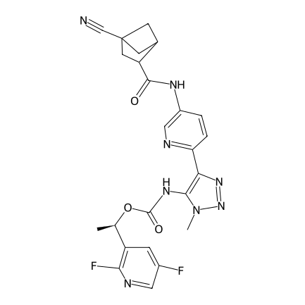 C[C@@H](OC(=O)Nc1c(-c2ccc(NC(=O)C3CC4(C#N)CC3C4)cn2)nnn1C)c1cc(F)cnc1F